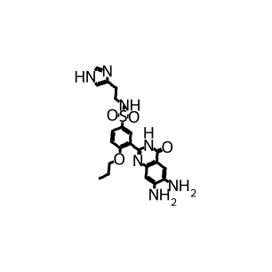 CCCOc1ccc(S(=O)(=O)NCCc2c[nH]cn2)cc1-c1nc2cc(N)c(N)cc2c(=O)[nH]1